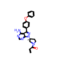 C=CC(=O)N1CC[C@@H](n2nc(-c3ccc(Oc4ccccc4)cc3)c3c(N)ncnc32)C1